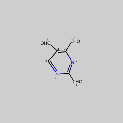 O=Cc1ncc(C=O)c(C=O)n1